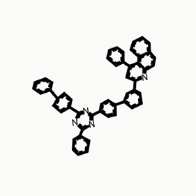 c1ccc(-c2ccc(-c3nc(-c4ccccc4)nc(-c4ccc(-c5cccc(-c6cc(-c7ccccc7)c7c(ccc8ccccc87)n6)c5)cc4)n3)cc2)cc1